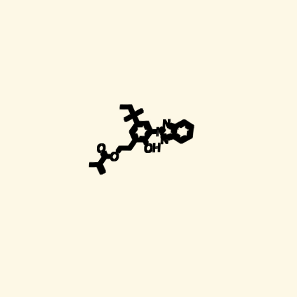 C=C(C)C(=O)OCCc1cc(C(C)(C)CC)cc(-n2nc3ccccc3n2)c1O